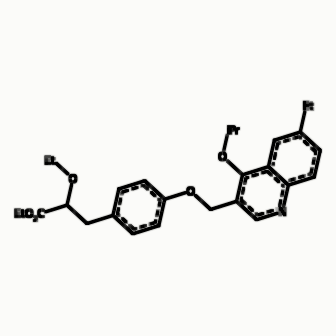 CCOC(=O)C(Cc1ccc(OCc2cnc3ccc(CC)cc3c2OC(C)C)cc1)OCC